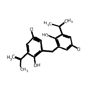 CC(C)c1cc(Cl)cc(Cc2cc(Cl)cc(C(C)C)c2O)c1O